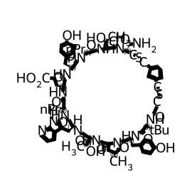 CCC[C@@H]1NC(=O)[C@H](Cc2c[nH]c3ncccc23)NC(=O)[C@H]([C@@H](C)O)NC(=O)[C@@H]2C[C@@H](C)CN2C(=O)[C@H](Cc2ccc(O)cc2)NC(=O)[C@H](C(C)(C)C)NC(=O)CCSCc2cccc(c2)CSC[C@@H](C(N)=O)NC(=O)[C@H]([C@@H](C)O)NC(=O)[C@H](CCC)NC(=O)[C@H](Cc2ccc(O)cc2)NC(=O)[C@H](CCC(=O)O)NC1=O